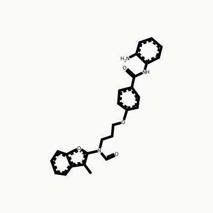 Cc1c(N(C=O)CCCOc2ccc(C(=O)Nc3ccccc3N)cc2)oc2ccccc12